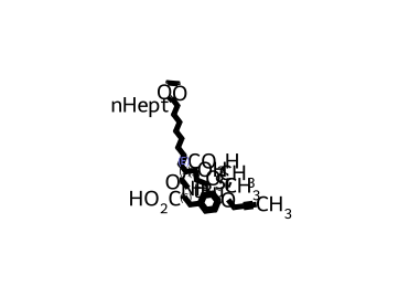 CC#CCOc1ccc(C[C@H](NC(=O)[C@@H](/C=C/CCCCCCC2(CCCCCCC)OCCO2)[C@@](O)(CCO[Si](C)(C)C(C)(C)C)C(=O)O)C(=O)O)cc1